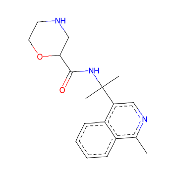 Cc1ncc(C(C)(C)NC(=O)C2CNCCO2)c2ccccc12